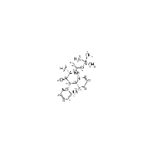 CC(NC(=O)OC(C)(C)C)C(=O)N(c1ccccc1)c1ncccc1N